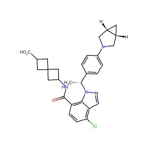 C[C@H](c1ccc(N2C[C@H]3C[C@H]3C2)cc1)n1ncc2c(Cl)ccc(C(=O)NC3CC4(C3)CC(C(=O)O)C4)c21